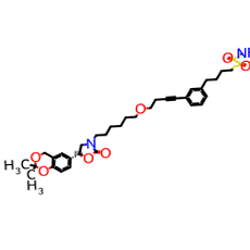 CC1(C)OCc2cc([C@@H]3CN(CCCCCCOCCC#Cc4cccc(CCCCS(N)(=O)=O)c4)C(=O)O3)ccc2O1